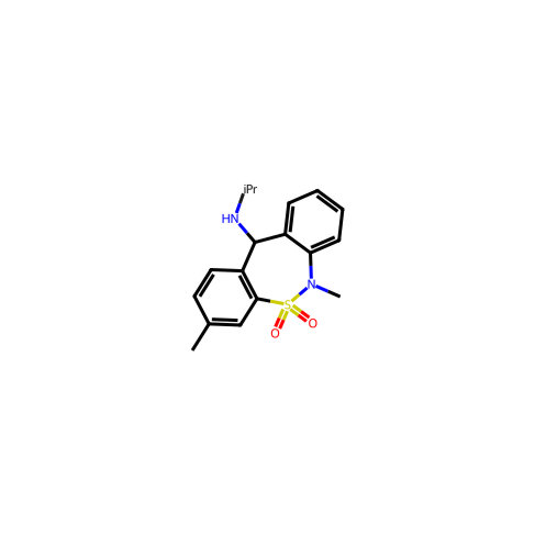 Cc1ccc2c(c1)S(=O)(=O)N(C)c1ccccc1C2NC(C)C